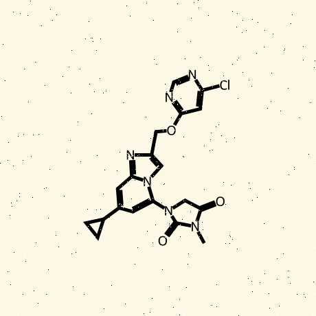 CN1C(=O)CN(c2cc(C3CC3)cc3nc(COc4cc(Cl)ncn4)cn23)C1=O